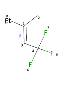 CC/C(C)=C/C(F)(F)F